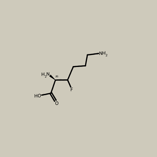 NCCCC(F)[C@H](N)C(=O)O